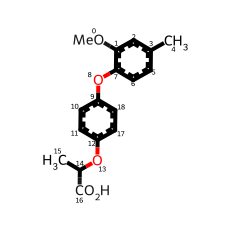 COc1cc(C)ccc1Oc1ccc(OC(C)C(=O)O)cc1